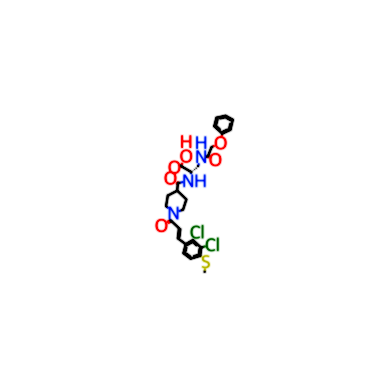 CSc1ccc(C=CC(=O)N2CCC(C(=O)N[C@@H](CNC(=O)COc3ccccc3)C(=O)O)CC2)c(Cl)c1Cl